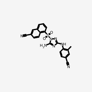 Cc1cc(C#N)ccc1Nc1nc(N)n(S(=O)(=O)c2cccc3cc(C#N)ccc23)n1